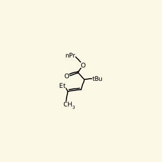 CCCOC(=O)C(/C=C(/C)CC)C(C)(C)C